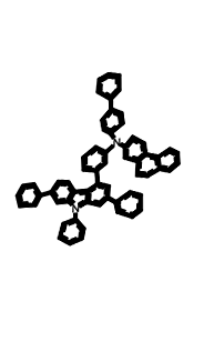 c1ccc(-c2ccc(N(c3cccc(-c4cc(-c5ccccc5)cc5c4c4ccc(-c6ccccc6)cc4n5-c4ccccc4)c3)c3ccc4c(ccc5ccccc54)c3)cc2)cc1